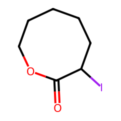 O=C1OCCCCCC1I